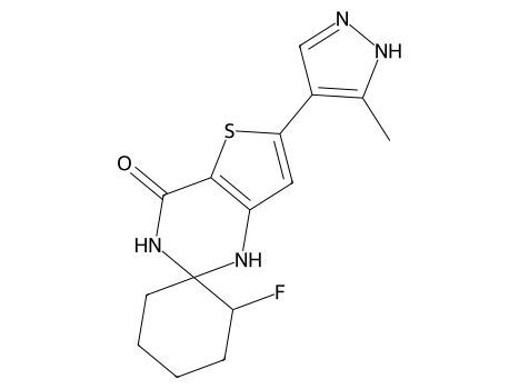 Cc1[nH]ncc1-c1cc2c(s1)C(=O)NC1(CCCCC1F)N2